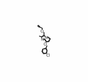 C#CCOCc1c(C)nc2c(OCc3cccc(Cl)c3)cccn12